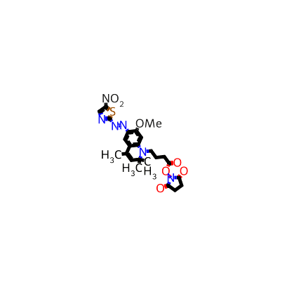 COc1cc2c(cc1/N=N/c1ncc([N+](=O)[O-])s1)C(C)=CC(C)(C)N2CCCC(=O)ON1C(=O)CCC1=O